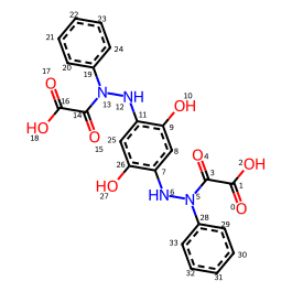 O=C(O)C(=O)N(Nc1cc(O)c(NN(C(=O)C(=O)O)c2ccccc2)cc1O)c1ccccc1